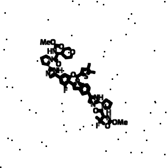 COC(=O)NC(C(=O)N1CCC[C@H]1c1ncc(-c2ccc3c(c2)cc2n3C(c3cc(C)c(C)s3)Oc3cc(-c4cnc([C@@H]5CCCN5C(=O)[C@@H](NC(=O)OC)C5CCOCC5)[nH]4)cc(F)c3-2)[nH]1)C(C)(C)F